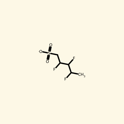 CC(F)C(F)C(F)CS([O])(=O)=O